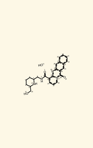 Cl.O=C(NCC1CCCC(CO)N1)c1cccn2c(=O)c3cc4ccccc4cc3nc12